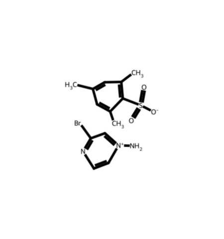 Cc1cc(C)c(S(=O)(=O)[O-])c(C)c1.N[n+]1ccnc(Br)c1